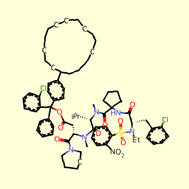 CCN([C@@H](Cc1ccccc1Cl)C(=O)NC1(C(=O)N(C)[C@H](C(=O)N(C)[C@@H](CC(=O)OC(c2ccccc2)(c2ccc(C3CCCCCCCCCCCCCCC3)cc2)c2ccccc2Cl)C(=O)N2CCCCC2)C(C)C)CCCC1)S(=O)(=O)c1ccccc1[N+](=O)[O-]